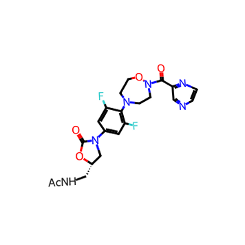 CC(=O)NC[C@H]1CN(c2cc(F)c(N3CCON(C(=O)c4cnccn4)CC3)c(F)c2)C(=O)O1